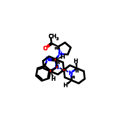 CC(=O)[C@H]1CCCN1c1nc2ccccc2n1[C@H]1C[C@H]2CCC[C@@H](C1)N2[C@H]1C[C@@H]2CCC[C@@H](C2)C1